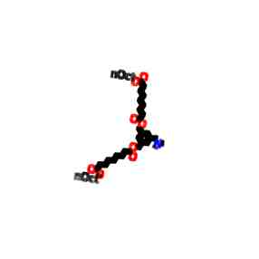 CCCCCCCCOC(=O)CCCCCCCC(=O)OCc1cc(COC(=O)CCCCCCCC(=O)OCCCCCCCC)cc(CN(C)C)c1